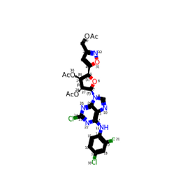 CC(=O)OCc1cc([C@H]2O[C@@H](n3cnc4c(Nc5ccc(Cl)cc5F)nc(Cl)nc43)[C@H](OC(C)=O)[C@H]2OC(C)=O)on1